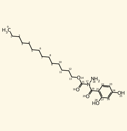 CCCCCCCCCCCCCCOC(=O)N(N)C(=O)c1ccc(O)cc1O